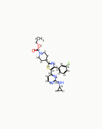 CCOC(=O)N1CCC(c2nc(-c3cccc(F)c3)c(-c3ccnc(NC4CC4)n3)s2)CC1